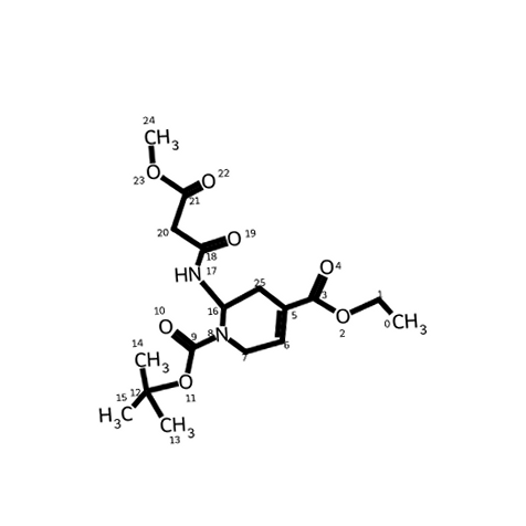 CCOC(=O)C1=CCN(C(=O)OC(C)(C)C)C(NC(=O)CC(=O)OC)C1